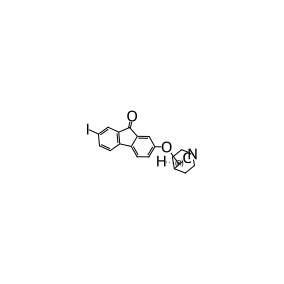 O=C1c2cc(I)ccc2-c2ccc(O[C@H]3CN4CCC3CC4)cc21